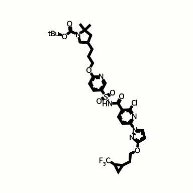 CC(C)(C)OC(=O)N1CC(CCCOc2ccc(S(=O)(=O)NC(=O)c3ccc(-n4ccc(OCCC5CC5C(F)(F)F)n4)nc3Cl)cn2)CC1(C)C